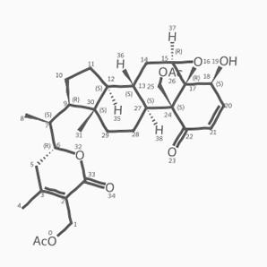 CC(=O)OCC1=C(C)C[C@H]([C@@H](C)[C@H]2CC[C@H]3[C@@H]4C[C@H]5O[C@]56[C@@H](O)C=CC(=O)[C@]6(COC(C)=O)[C@H]4CC[C@]23C)OC1=O